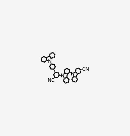 N#Cc1cc(-c2ccc(-n3c4ccccc4c4ccccc43)cc2)cc(-n2c3ccccc3c3c(-n4c5ccccc5c5cc(C#N)ccc54)cccc32)c1